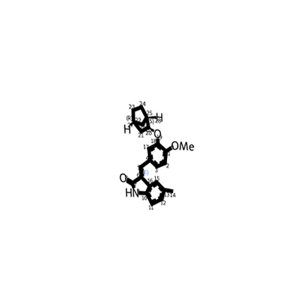 COc1ccc(/C=C2/C(=O)Nc3ccc(C)cc32)cc1O[C@H]1C[C@@H]2CC[C@H]1C2